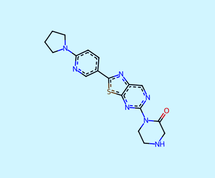 O=C1CNCCN1c1ncc2nc(-c3ccc(N4CCCC4)nc3)sc2n1